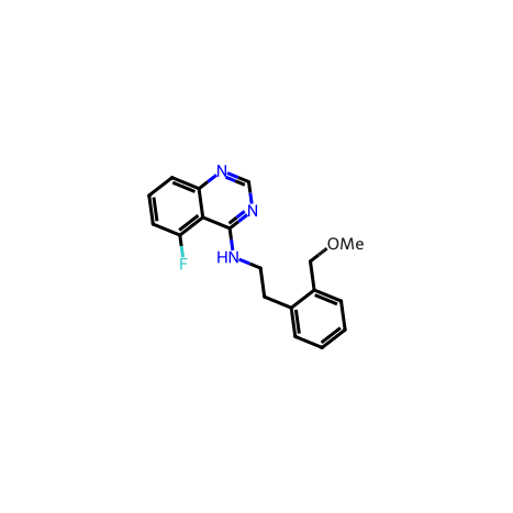 COCc1ccccc1CCNc1ncnc2cccc(F)c12